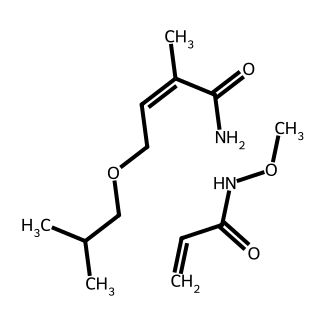 C=CC(=O)NOC.CC(=CCOCC(C)C)C(N)=O